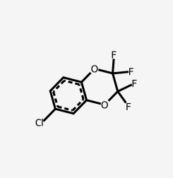 FC1(F)Oc2ccc(Cl)cc2OC1(F)F